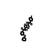 Cc1ccc(C(=O)NC2COC3C(NC(=O)c4cccc(Oc5ccccc5)c4)COC23)cc1